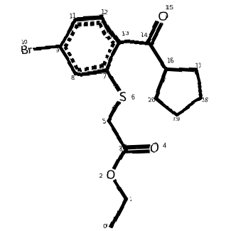 CCOC(=O)CSc1cc(Br)ccc1C(=O)C1CCCC1